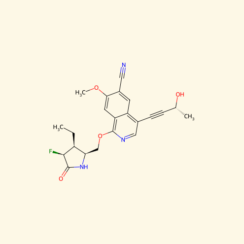 CC[C@@H]1[C@H](F)C(=O)N[C@@H]1COc1ncc(C#C[C@@H](C)O)c2cc(C#N)c(OC)cc12